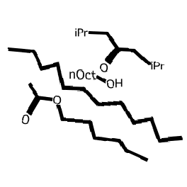 CC(C)CC(=O)CC(C)C.CCCCCCCCCCCC.CCCCCCCCO.CCCCCCOC(C)=O